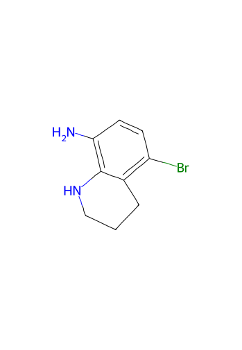 Nc1ccc(Br)c2c1NCCC2